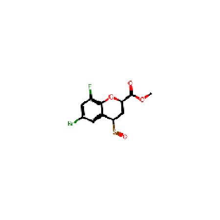 COC(=O)C1CC([S+]=O)c2cc(Br)cc(F)c2O1